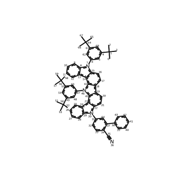 CC(C)(C)c1cc(-n2c3ccccc3c3c2ccc2c4ccc5c(c6ccccc6n5-c5ccc(C#N)c(-c6ccccc6)c5)c4n(-c4cc(C(C)(C)C)cc(C(C)(C)C)c4)c23)cc(C(C)(C)C)c1